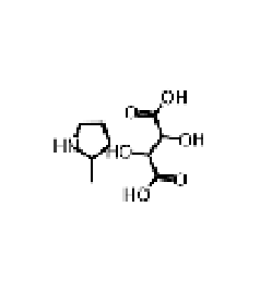 CC1CCCN1.O=C(O)C(O)C(O)C(=O)O